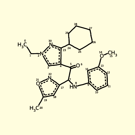 CCn1cc(C(=O)C(Nc2cccc(OC)c2)c2cc(C)on2)c(C2CCCCC2)n1